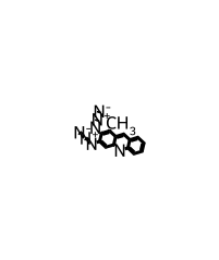 Cc1c(N=[N+]=[N-])c(N=[N+]=[N-])cc2nc3ccccc3cc12